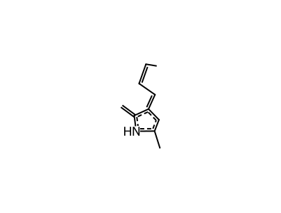 C=c1[nH]c(C)c/c1=C/C=C\C